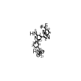 CNc1cc(-c2cnc3ccc(C(F)F)nn23)cc(N2CCC[C@H](CNS(C)(=O)=O)C2)n1